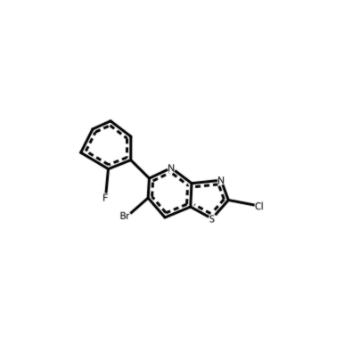 Fc1ccccc1-c1nc2nc(Cl)sc2cc1Br